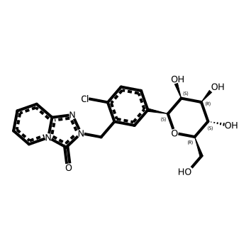 O=c1n(Cc2cc([C@@H]3O[C@H](CO)[C@@H](O)[C@H](O)[C@@H]3O)ccc2Cl)nc2ccccn12